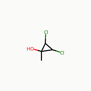 CC1(O)C(Cl)C1Cl